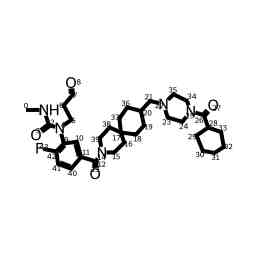 CNC(=O)N(CCC=O)c1cc(C(=O)N2CCC3(CCC(CN4CCN(C(=O)C5CCCCC5)CC4)CC3)CC2)ccc1F